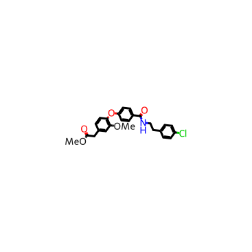 COC(=O)Cc1ccc(Oc2ccc(C(=O)NCCc3ccc(Cl)cc3)cc2)c(OC)c1